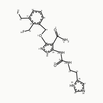 NC(=O)c1c(OCc2cccc(CF)c2CF)nsc1NC(=O)NCCc1cnc[nH]1